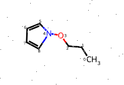 CCCOn1[c]ccc1